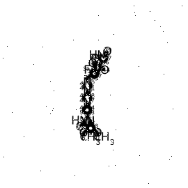 COc1cc(OC)c2c(=O)[nH]c(-c3ccc(N4CCC(N5CCN(Cc6ccc7c(c6F)C(=O)N(C6CCC(=O)NC6=O)C7=O)CC5)CC4)cc3)nc2c1